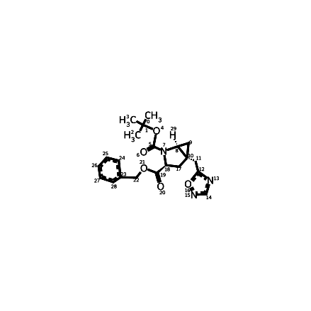 CC(C)(C)OC(=O)N1[C@H]2C[C@@]2(Cc2ncno2)C[C@H]1C(=O)OCc1ccccc1